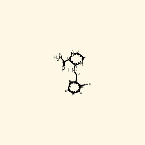 NC(=O)c1nccnc1NCc1ccccc1F